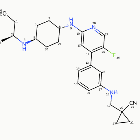 COC[C@H](C)N[C@H]1CC[C@H](Nc2cc(-c3cccc(NCC4(C#N)CC4)c3)c(F)cn2)CC1